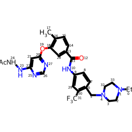 CCN1CCN(Cc2ccc(NC(=O)c3ccc(C)c(Oc4cc(NNC(C)=O)ncn4)c3)cc2C(F)(F)F)CC1